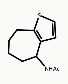 CC(=O)NC1CCCCc2sccc21